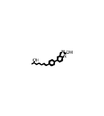 CC(O)CCCC=Cc1ccc(-c2ccc3nc(O)ncc3c2)cc1